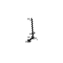 CCCCCCCCCCCCCCCC(=O)NCCC[N+](C)(C)CCCCS(=O)(=O)O